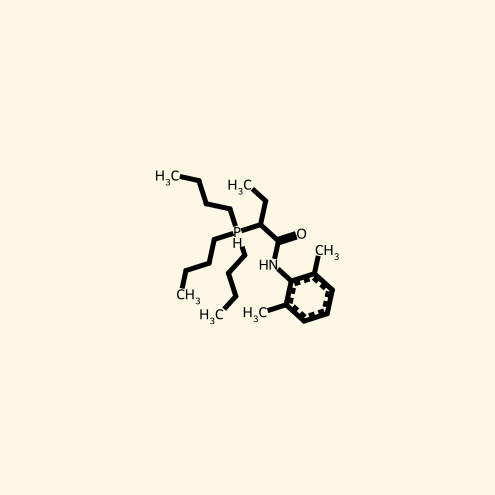 CCCC[PH](CCCC)(CCCC)C(CC)C(=O)Nc1c(C)cccc1C